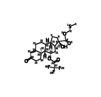 CSCOC(=O)[C@@]1(O)CC[C@H]2[C@@H]3CCC4=CC(=O)CC[C@]4(C)[C@H]3[C@@H](OC(=O)C(F)(F)F)C[C@@]21C